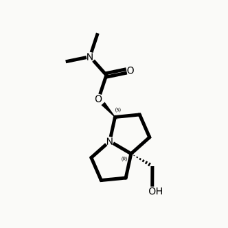 CN(C)C(=O)O[C@H]1CC[C@@]2(CO)CCCN12